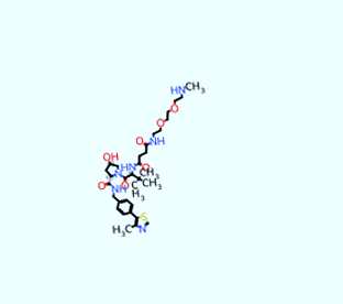 CNCCOCCOCCNC(=O)CCC(=O)N[C@H](C(=O)N1C[C@H](O)C[C@H]1C(=O)NCc1ccc(-c2scnc2C)cc1)C(C)(C)C